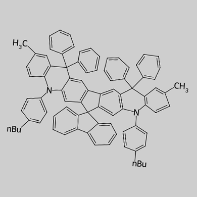 CCCCc1ccc(N2c3ccc(C)cc3C(c3ccccc3)(c3ccccc3)c3cc4c(cc32)C2(c3ccccc3-c3ccccc32)c2cc3c(cc2-4)C(c2ccccc2)(c2ccccc2)c2cc(C)ccc2N3c2ccc(CCCC)cc2)cc1